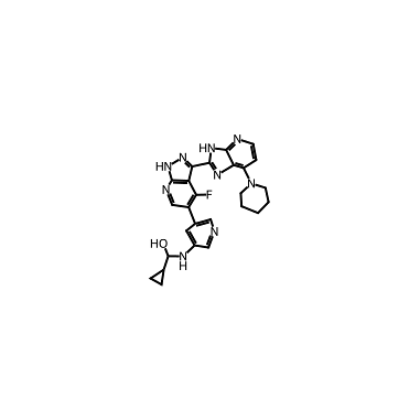 OC(Nc1cncc(-c2cnc3[nH]nc(-c4nc5c(N6CCCCC6)ccnc5[nH]4)c3c2F)c1)C1CC1